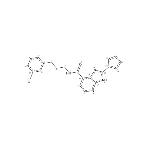 O=C(NCCCc1ccnc(Cl)c1)c1ccnc2[nH]c(-c3cccs3)nc12